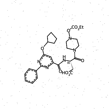 CCOC(=O)ON1CCN(C(=O)[C@H](CC(=O)O)NC(=O)c2cc(OC3CCCC3)nc(-c3ccccc3)n2)CC1